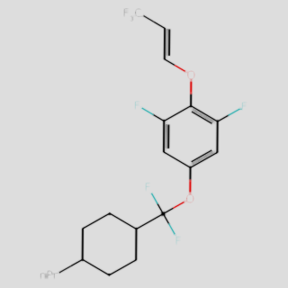 CCCC1CCC(C(F)(F)Oc2cc(F)c(O/C=C/C(F)(F)F)c(F)c2)CC1